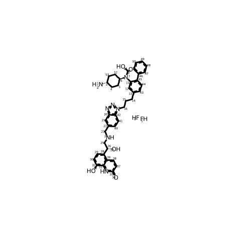 F.F.N[C@H]1CC[C@H](N(C(=O)O)c2cc(CCCn3nnc4cc(CNC[C@H](O)c5ccc(O)c6[nH]c(=O)ccc56)ccc43)ccc2-c2ccccc2)CC1